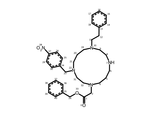 O=C(CN1CCCNCCN(CCc2ccccc2)CCCN(Cc2ccc([N+](=O)[O-])cc2)CC1)OCc1ccccc1